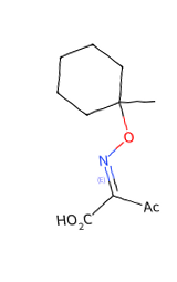 CC(=O)/C(=N\OC1(C)CCCCC1)C(=O)O